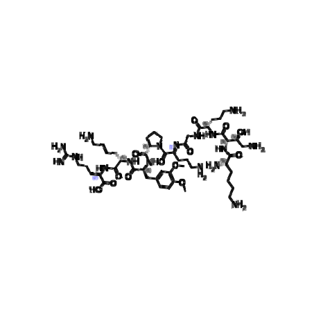 COc1ccc(C[C@H](NC(=O)[C@@H]2CCCN2C(=O)/C(CCCN)=N/C(=O)CNC(=O)[C@H](CCCN)NC(=O)[C@@H](NC(=O)[C@@H](N)CCCCN)[C@@H](O)CN)C(=O)N[C@@H](CCCCN)C(=O)N/C(=C\CCNC(=N)N)C(=O)O)cc1OC